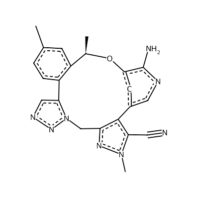 Cc1ccc2c(c1)[C@@H](C)Oc1cc(cnc1N)-c1c(nn(C)c1C#N)Cn1nncc1-2